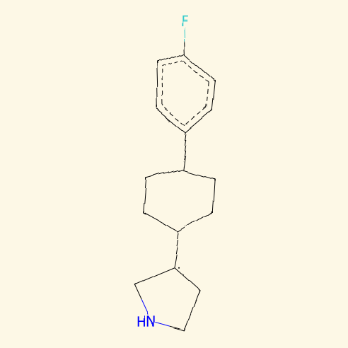 Fc1ccc(C2CCC([C]3CCNC3)CC2)cc1